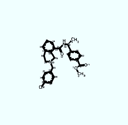 COC(=O)c1ccc([C@H](C)NC(=O)c2cccc3c2CN(Cc2ccc(Cl)cc2)CC3)cc1